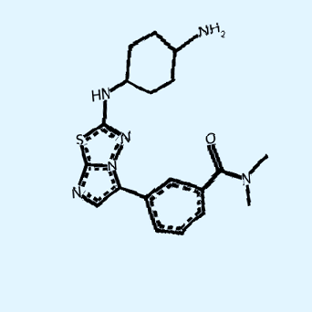 CN(C)C(=O)c1cccc(-c2cnc3sc(NC4CCC(N)CC4)nn23)c1